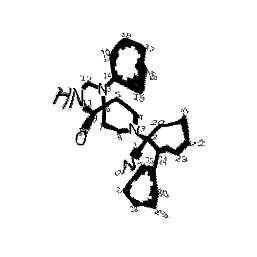 N#CC1(N2CCC3(CC2)C(=O)NCN3c2ccccc2)CCCCC1c1ccccc1